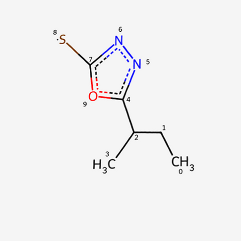 CCC(C)c1nnc([S])o1